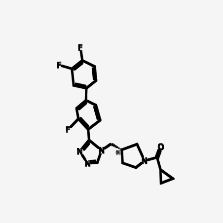 O=C(C1CC1)N1CC[C@H](Cn2cnnc2-c2ccc(-c3ccc(F)c(F)c3)cc2F)C1